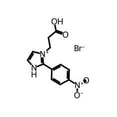 O=C(O)CC[n+]1cc[nH]c1-c1ccc([N+](=O)[O-])cc1.[Br-]